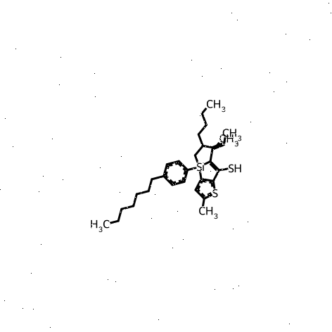 CC=CC1=C(S)c2sc(C)cc2[Si]1(CC(CC)CCCC)c1ccc(CCCCCCC)cc1